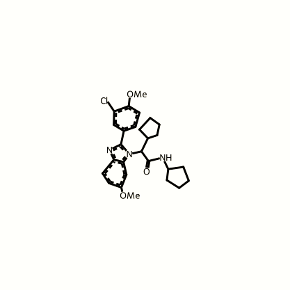 COc1ccc2nc(-c3ccc(OC)c(Cl)c3)n(C(C(=O)NC3CCCC3)C3CCCC3)c2c1